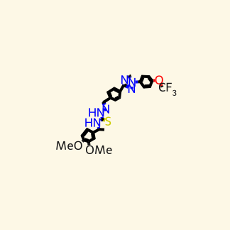 COc1ccc(C(C)NC(=S)N/N=C/c2ccc(-c3ncn(-c4ccc(OC(F)(F)F)cc4)n3)cc2)cc1OC